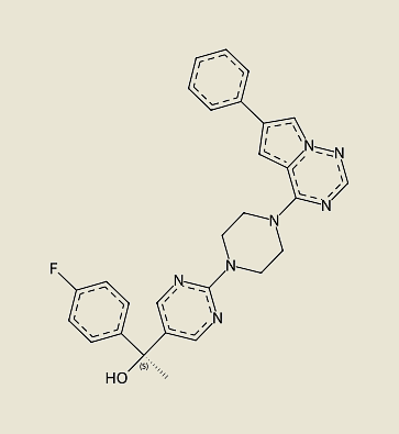 C[C@](O)(c1ccc(F)cc1)c1cnc(N2CCN(c3ncnn4cc(-c5ccccc5)cc34)CC2)nc1